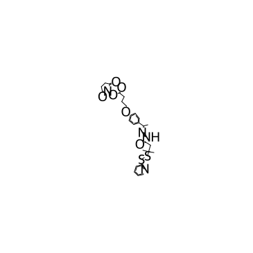 C/C(=N\NC(=O)CC(C)(C)SSc1ccccn1)c1ccc(OCCCC(=O)ON2C(=O)CCC2=O)cc1